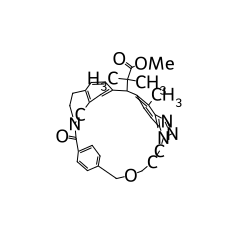 COC(=O)C(C)(C)C1c2ccc3c(c2)CN(CC3)C(=O)c2ccc(cc2)COCCCn2nnc3c(C)c1ccc32